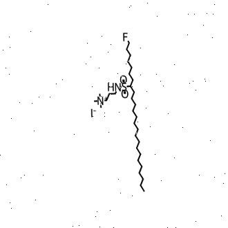 CCCCCCCCCCCCCCCCCC(CCCCCCCF)S(=O)(=O)NCCC[N+](C)(C)C.[I-]